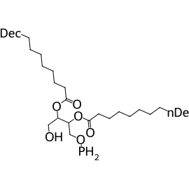 CCCCCCCCCCCCCCCCCC(=O)OC(CO)C(COP)OC(=O)CCCCCCCCCCCCCCCCC